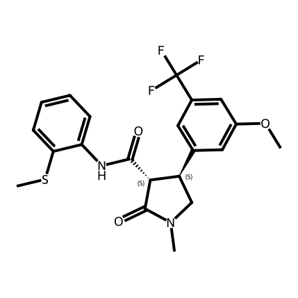 COc1cc([C@H]2CN(C)C(=O)[C@@H]2C(=O)Nc2ccccc2SC)cc(C(F)(F)F)c1